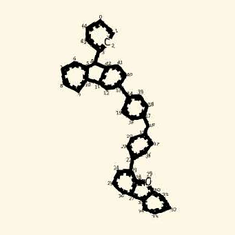 c1ccc(C2c3ccccc3-c3cc(-c4ccc(Cc5ccc(-c6cccc7c6oc6ccccc67)cc5)cc4)ccc32)cc1